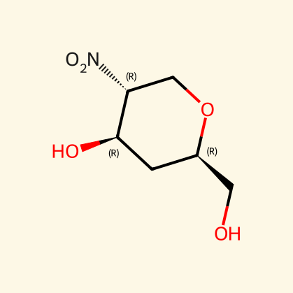 O=[N+]([O-])[C@@H]1CO[C@@H](CO)C[C@H]1O